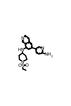 CCS(=O)(=O)N1CCC(Nc2cc(-c3ccc(N)nc3)cc3ccncc23)CC1